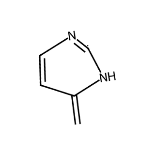 C=C1C=CN=[C]N1